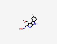 COCc1c(C=NO)ncc2[nH]c3ccc(C)cc3c12